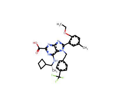 CCOc1ccc(C)cc1-c1nc2nc(C(=O)O)nc(N[C@H](C)C3CCC3)c2n1Cc1ccc(C(F)(F)F)cc1